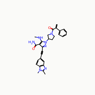 C=C(C(=O)N1CCC(n2nc(C#Cc3ccc4c(c3)nc(C)n4C)c(C(N)=O)c2NC)C1)c1ccccc1